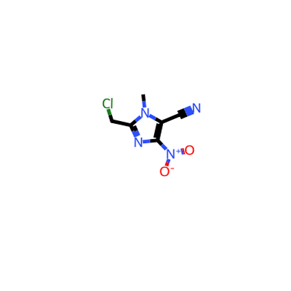 Cn1c(CCl)nc([N+](=O)[O-])c1C#N